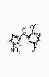 COc1ncc(F)cc1C(C)n1cc(N)cn1